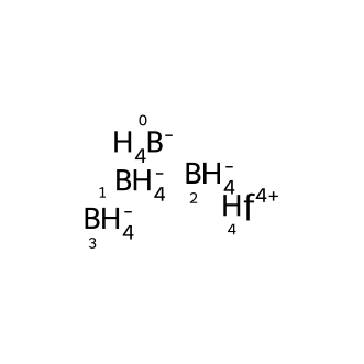 [BH4-].[BH4-].[BH4-].[BH4-].[Hf+4]